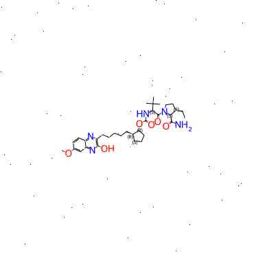 CC[C@@H]1CCN(C(=O)[C@@H](NC(=O)O[C@@H]2CC[C@H](C)[C@H]2CCCCCc2nc3ccc(OC)cc3nc2O)C(C)(C)C)[C@@H]1C(N)=O